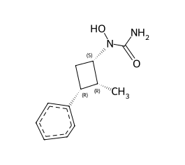 C[C@@H]1[C@H](c2ccccc2)C[C@@H]1N(O)C(N)=O